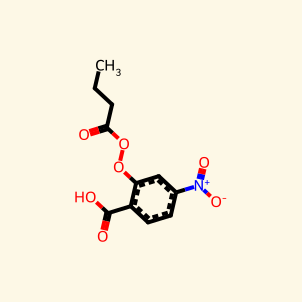 CCCC(=O)OOc1cc([N+](=O)[O-])ccc1C(=O)O